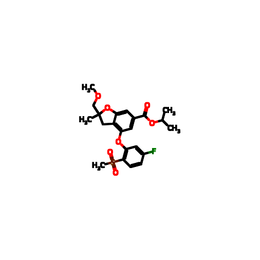 COCC1(C)Cc2c(Oc3cc(F)ccc3S(C)(=O)=O)cc(C(=O)OC(C)C)cc2O1